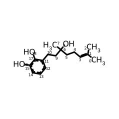 CC(C)=CCCC(C)(O)CCc1cccc(O)c1O